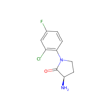 N[C@@H]1CCN(c2ccc(F)cc2Cl)C1=O